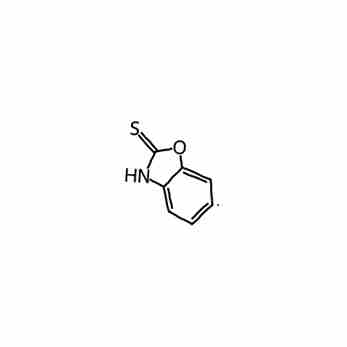 S=c1[nH]c2cc[c]cc2o1